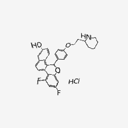 Cl.Oc1ccc2c3c(ccc2c1)-c1c(F)cc(F)cc1OC3c1ccc(OCCC2CCCCN2)cc1